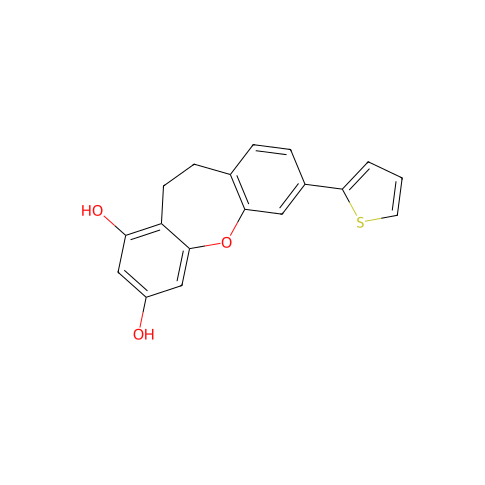 Oc1cc(O)c2c(c1)Oc1cc(-c3cccs3)ccc1CC2